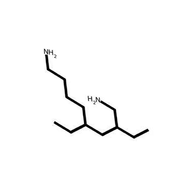 CCC(CN)CC(CC)CCCCN